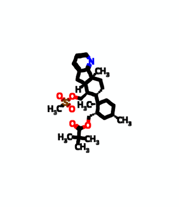 C[C@H]1CC[C@](C)([C@H]2CC[C@]3(C)c4ncccc4C[C@H]3[C@@H]2COS(C)(=O)=O)[C@@H](COC(=O)C(C)(C)C)C1